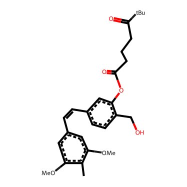 COc1cc(/C=C\c2ccc(CO)c(OC(=O)CCCC(=O)C(C)(C)C)c2)cc(OC)c1C